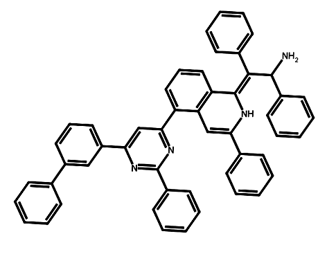 NC(/C(=C1\NC(c2ccccc2)=Cc2c1cccc2-c1cc(-c2cccc(-c3ccccc3)c2)nc(-c2ccccc2)n1)c1ccccc1)c1ccccc1